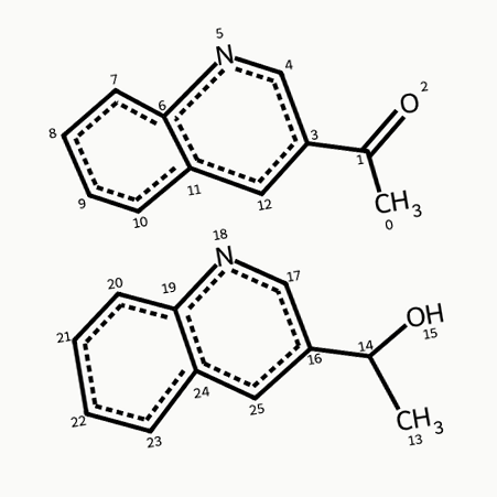 CC(=O)c1cnc2ccccc2c1.CC(O)c1cnc2ccccc2c1